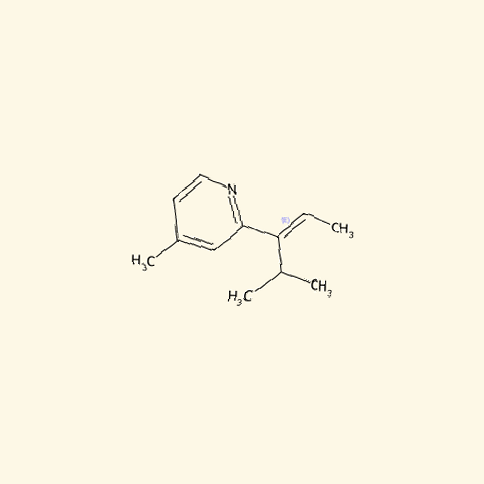 C/C=C(/c1cc(C)ccn1)C(C)C